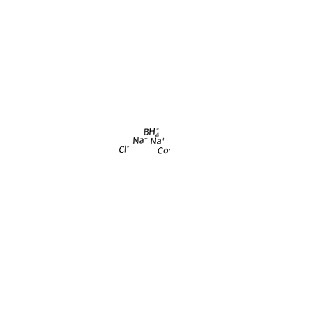 [BH4-].[Cl-].[Co].[Na+].[Na+]